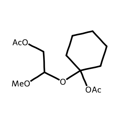 COC(COC(C)=O)OC1(OC(C)=O)CCCCC1